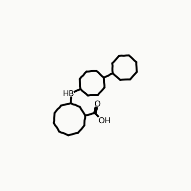 O=C(O)C1CCCCCCCC(BC2CCCC(C3CCCCCCC3)CCC2)C1